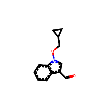 O=Cc1cn(OCC2CC2)c2ccccc12